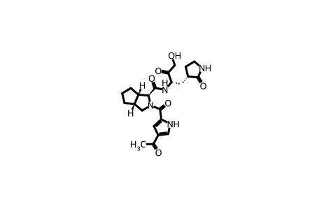 CC(=O)c1c[nH]c(C(=O)N2C[C@@H]3CCC[C@@H]3[C@H]2C(=O)N[C@@H](C[C@@H]2CCNC2=O)C(=O)CO)c1